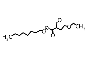 CCCCCCCCOOC(=O)C(C=O)CCOCC